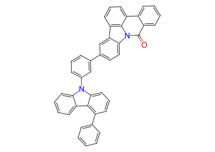 O=c1c2ccccc2c2cccc3c4cc(-c5cccc(-n6c7ccccc7c7c(-c8ccccc8)cccc76)c5)ccc4n1c23